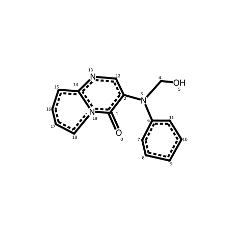 O=c1c(N(CO)c2ccccc2)cnc2ccccn12